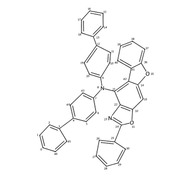 c1ccc(-c2ccc(N(c3ccc(-c4ccccc4)cc3)c3c4nc(-c5ccccc5)oc4cc4oc5ccccc5c34)cc2)cc1